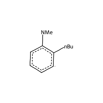 CCCCc1[c]cccc1NC